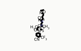 C=N/C(=C\C=C(/C)N1C(=S)N(c2ccc(C#N)c(C(F)(F)F)c2)C(=O)C1(C)C)CCCc1ncco1